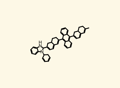 CC1=CC2=CC=C(c3c4ccccc4c(C4=CC5=CC=C(C6Nc7ccccc7N6C6C=CC=CC6)CC5CC4)c4ccccc34)CC2CC1